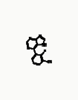 N#Cc1cccc(-c2ncnc3nc[nH]c23)c1F